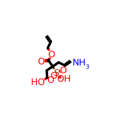 C=CCOC(=O)C(CC=C)(CC(=O)O)S(=O)(=O)O.N